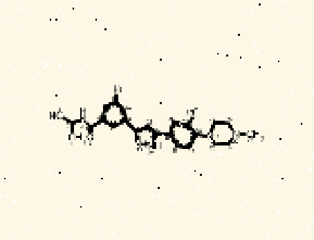 CC(C#N)NC(=O)c1cc(F)cc(-c2cc(-c3ccc(N4CCN(C)CC4)c(Cl)c3)[nH]n2)c1